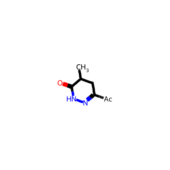 CC(=O)C1=NNC(=O)C(C)C1